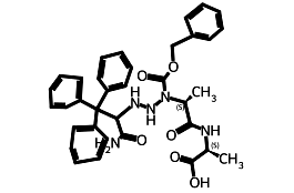 C[C@H](NC(=O)[C@H](C)N(NNC(C(N)=O)C(c1ccccc1)(c1ccccc1)c1ccccc1)C(=O)OCc1ccccc1)C(=O)O